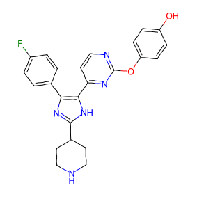 Oc1ccc(Oc2nccc(-c3[nH]c(C4CCNCC4)nc3-c3ccc(F)cc3)n2)cc1